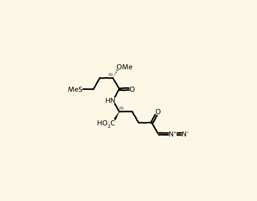 CO[C@@H](CCSC)C(=O)N[C@@H](CCC(=O)C=[N+]=[N-])C(=O)O